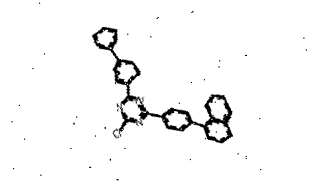 Clc1nc(-c2ccc(-c3ccccc3)cc2)nc(-c2ccc(-c3cccc4ccccc34)cc2)n1